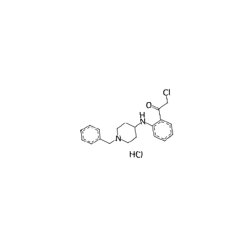 Cl.O=C(CCl)c1ccccc1NC1CCN(Cc2ccccc2)CC1